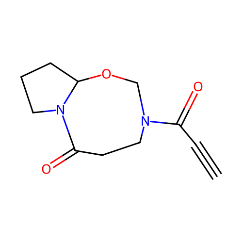 C#CC(=O)N1CCC(=O)N2CCCC2OC1